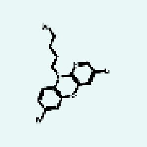 BrCCCCN1c2ccc(Br)cc2Oc2cc(Br)cnc21